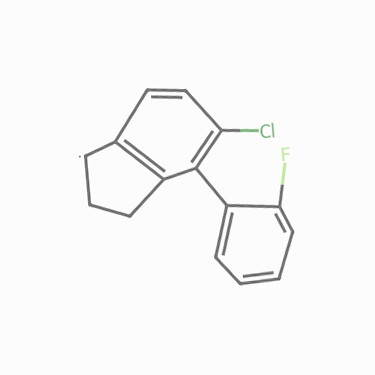 Fc1ccccc1-c1c(Cl)ccc2c1CC[CH]2